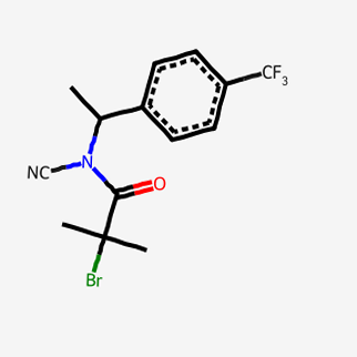 CC(c1ccc(C(F)(F)F)cc1)N(C#N)C(=O)C(C)(C)Br